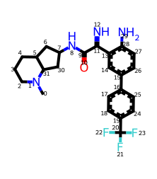 CN1CCCC2CC(NC(=O)C(=N)c3cc(-c4ccc(C(F)(F)F)cc4)ccc3N)CC21